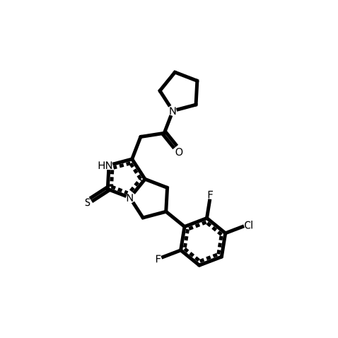 O=C(Cc1[nH]c(=S)n2c1CC(c1c(F)ccc(Cl)c1F)C2)N1CCCC1